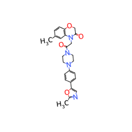 Cc1ccc2c(c1)N(CC(=O)N1CCN(c3ccc(-c4cnc(C)o4)cc3)CC1)C(=O)CO2